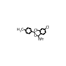 CCCC(OCc1ccc(C)cc1)c1ccc(Cl)cc1Cl